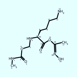 CNC(=O)OCN[C@@H](CCCCN)C(=O)OC(C)=NO